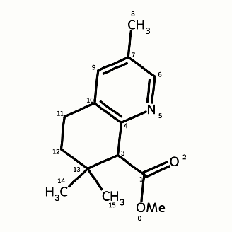 COC(=O)C1c2ncc(C)cc2CCC1(C)C